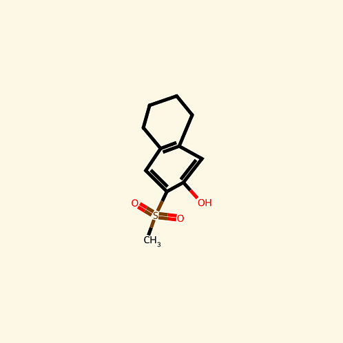 CS(=O)(=O)c1cc2c(cc1O)CCCC2